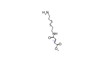 COC(=O)/C=C/C(=O)NCCSSCCN